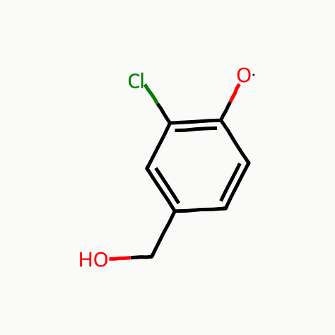 [O]c1ccc(CO)cc1Cl